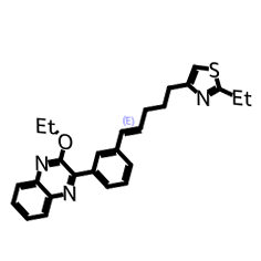 CCOc1nc2ccccc2nc1-c1cccc(/C=C/CCCc2csc(CC)n2)c1